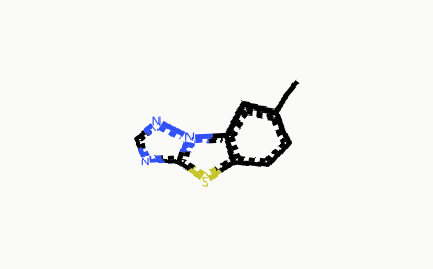 Cc1ccc2sc3ncnn3c2c1